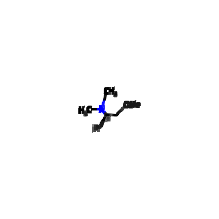 COC[C@@H](C(C)C)N(C)C